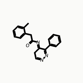 Cc1ccccc1CC(=O)N=C1CC=NN=C1c1ccccc1